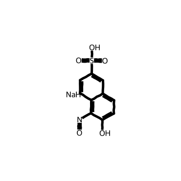 O=Nc1c(O)ccc2cc(S(=O)(=O)O)ccc12.[NaH]